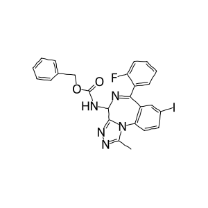 Cc1nnc2n1-c1ccc(I)cc1C(c1ccccc1F)=NC2NC(=O)OCc1ccccc1